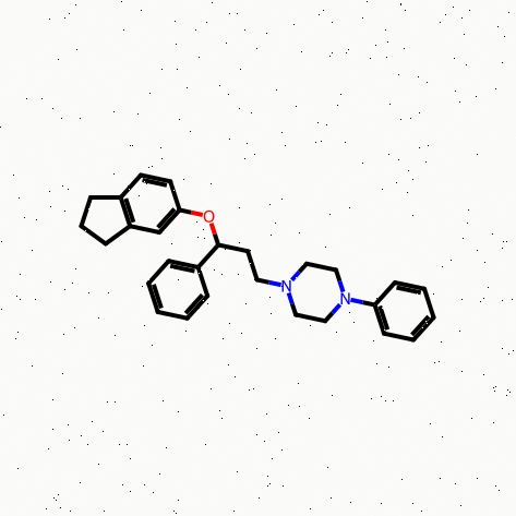 c1ccc(C(CCN2CCN(c3ccccc3)CC2)Oc2ccc3c(c2)CCC3)cc1